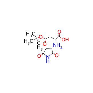 CC(C)(C)OC(=O)CC(N)C(=O)O.O=C1C=CC(=O)N1